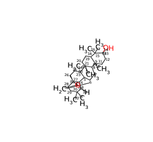 C=C1O[C@@H]2C3C4CCC5[C@@]6(C)CC[C@H](O)C(C)(C)C6CC[C@@]5(C)[C@]4(C)CC[C@]13CCC2(C)C